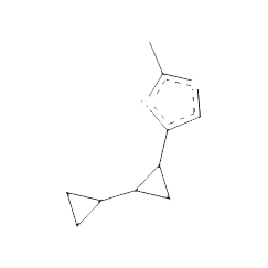 Cc1nc(C2CC2C2CC2)cs1